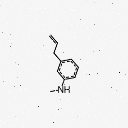 C=CCc1cccc(NC)c1